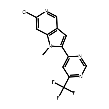 Cn1c(-c2cc(C(F)(F)F)ncn2)cc2cnc(Cl)cc21